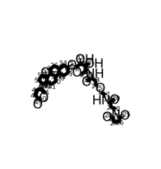 C[C@]12CC[C@H](O[C@H]3OC[C@H](NC(=O)CCOCCNC(=O)CCN4C(=O)C=CC4=O)C(O)[C@@H]3O)C=C1CCC1C2CC[C@]2(C)[C@@H](c3ccc(=O)oc3)CC[C@]12O